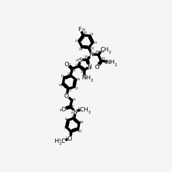 COc1ccc(N(C)C(=O)COc2ccc(C(=O)c3sc(N(c4ccc(F)cc4)C(C)C(N)=O)nc3N)cc2)cc1